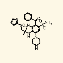 CC(C)(CSc1cccs1)Nc1c(N2CCNCC2)cc(S(N)(=O)=O)c(C(=O)c2ccccc2)c1[N+](=O)[O-]